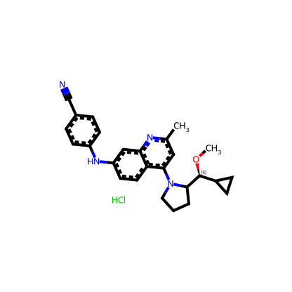 CO[C@@H](C1CC1)C1CCCN1c1cc(C)nc2cc(Nc3ccc(C#N)cc3)ccc12.Cl